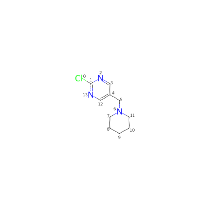 Clc1ncc(CN2CCCCC2)cn1